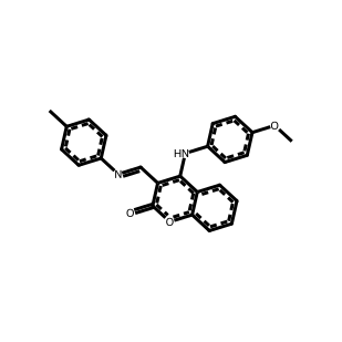 COc1ccc(Nc2c(/C=N/c3ccc(C)cc3)c(=O)oc3ccccc23)cc1